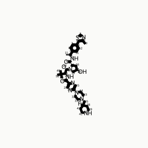 Cc1ncsc1-c1ccc([C@H](C)NC(=O)[C@@H]2C[C@@H](O)CN2C(=O)[C@@H](NC(=O)c2cnc(N3CCN(CC4(F)CCNCC4)CC3)cn2)C(C)(C)C)cc1